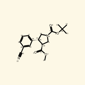 COC(=O)[C@@H]1CN(C(=O)OC(C)(C)C)C[C@H]1c1cccc(C#N)c1